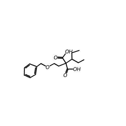 CCC(CC)C(CCOCc1ccccc1)(C(=O)O)C(=O)O